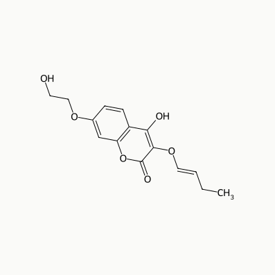 CC/C=C/Oc1c(O)c2ccc(OCCO)cc2oc1=O